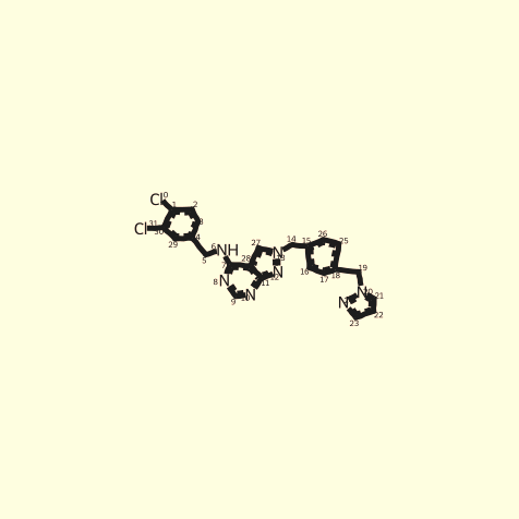 Clc1ccc(CNc2ncnc3nn(Cc4ccc(Cn5cccn5)cc4)cc23)cc1Cl